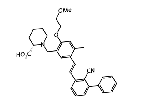 COCCOc1cc(C)c(/C=C/c2cccc(-c3ccccc3)c2C#N)cc1CN1CCCC[C@H]1C(=O)O